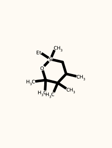 CC[Si]1(C)CC(C)C(C)(C)C(C)(C)O1